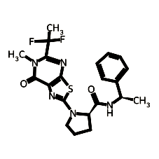 C[C@@H](NC(=O)[C@H]1CCCN1c1nc2c(=O)n(C)c(C(C)(F)F)nc2s1)c1ccccc1